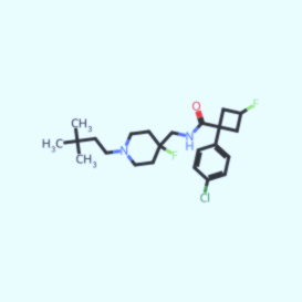 CC(C)(C)CCN1CCC(F)(CNC(=O)C2(c3ccc(Cl)cc3)CC(F)C2)CC1